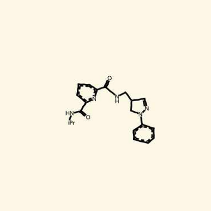 CC(C)NC(=O)c1cccc(C(=O)NCC2C=NN(c3ccccc3)C2)n1